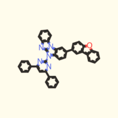 c1ccc(-c2cc(-c3ccccc3)nc(-n3c4ccc(-c5ccc6oc7ccccc7c6c5)cc4n4c5ccccc5nc34)n2)cc1